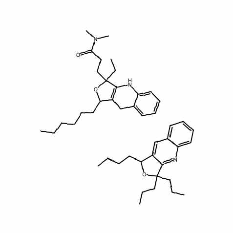 CCCCC1OC(CCC)(CCC)c2nc3ccccc3cc21.CCCCCCC1OC(CC)(CCC(=O)N(C)C)C2=C1Cc1ccccc1N2